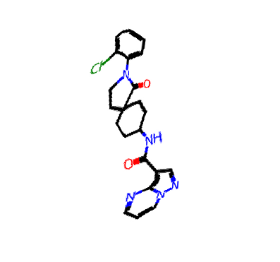 O=C(NC1CCC2(CC1)CCN(c1ccccc1Cl)C2=O)c1cnn2cccnc12